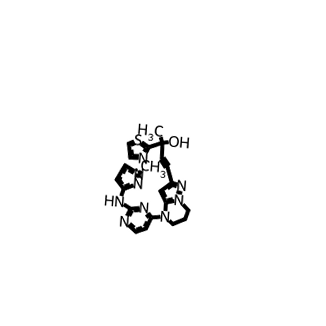 Cn1ccc(Nc2nccc(N3CCCn4nc(C#CC(C)(O)c5nccs5)cc43)n2)n1